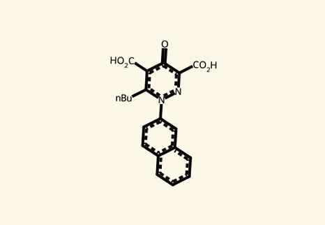 CCCCc1c(C(=O)O)c(=O)c(C(=O)O)nn1-c1ccc2ccccc2c1